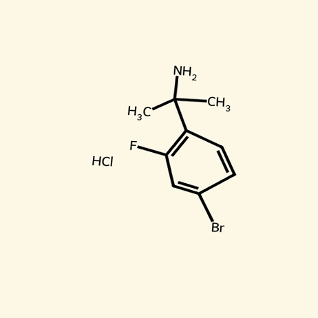 CC(C)(N)c1ccc(Br)cc1F.Cl